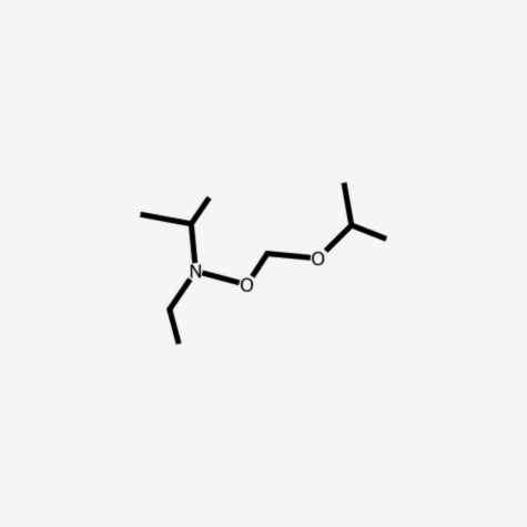 CCN(OCOC(C)C)C(C)C